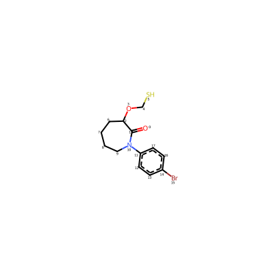 O=C1C(OCS)CCCCN1c1ccc(Br)cc1